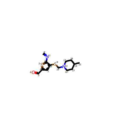 C=Nc1sc(C=O)cc1SCN1CCC(C)CC1